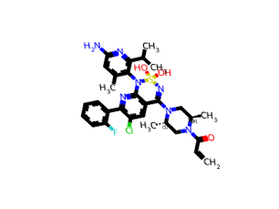 C=CC(=O)N1C[C@H](C)N(C2=NS(O)(O)N(c3c(C)cc(N)nc3C(C)C)c3nc(-c4ccccc4F)c(Cl)cc32)C[C@H]1C